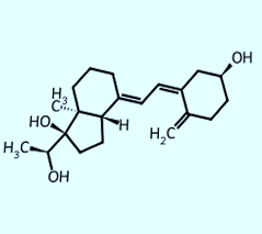 C=C1CC[C@H](O)C/C1=C/C=C1\CCC[C@@]2(C)[C@H]1CC[C@]2(O)[C@H](C)O